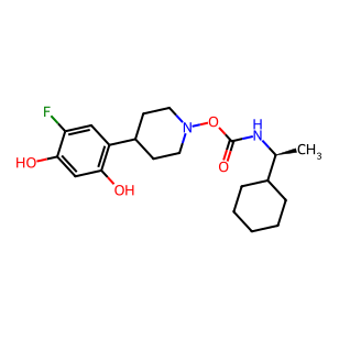 C[C@H](NC(=O)ON1CCC(c2cc(F)c(O)cc2O)CC1)C1CCCCC1